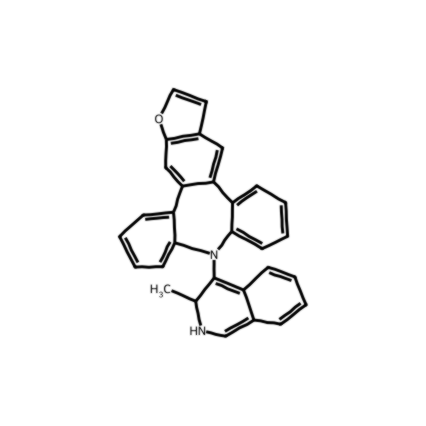 CC1NC=c2ccccc2=C1N1c2ccccc2-c2cc3ccoc3cc2-c2ccccc21